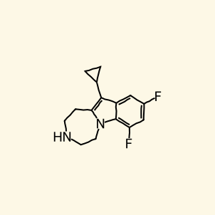 Fc1cc(F)c2c(c1)c(C1CC1)c1n2CCNCC1